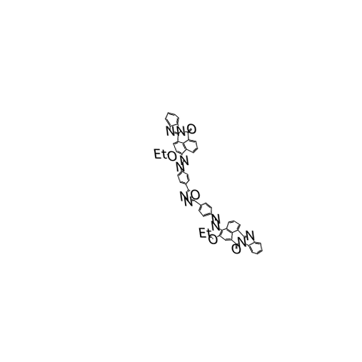 CCOc1cc2c(=O)n3c4ccccc4nc3c3cccc(c1N=Nc1ccc(-c4nnc(-c5ccc(N=Nc6c(OCC)cc7c8c6cccc8c(=O)n6c8ccccc8nc76)cc5)o4)cc1)c23